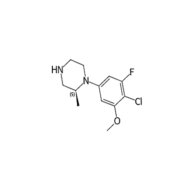 COc1cc(N2CCNC[C@@H]2C)cc(F)c1Cl